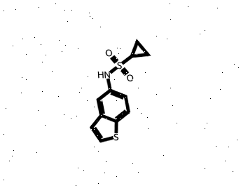 O=S(=O)(Nc1ccc2sccc2c1)C1CC1